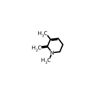 C=C1C(C)=CCCN1C